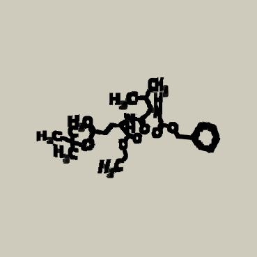 CCOC(=O)[C@@H](CCC(=O)OC(C)(C)C)NC(=O)[C@@H](NC(=O)OCc1ccccc1)C(C)C